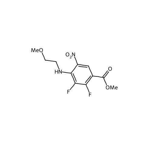 COCCNc1c([N+](=O)[O-])cc(C(=O)OC)c(F)c1F